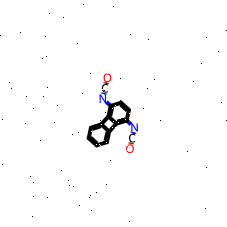 O=C=Nc1ccc(N=C=O)c2c1-c1ccccc1-2